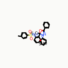 CSc1ccc(NS(=O)(=O)c2ccc(C)cc2)c(C2(C(F)(F)F)OC(c3ccccc3)=NN2c2ccccc2)c1